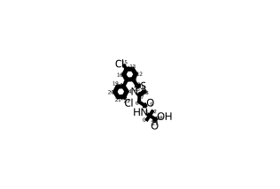 CC(C)(NC(=O)Cc1csc(-c2ccc(Cl)cc2-c2cccc(Cl)c2)n1)C(=O)O